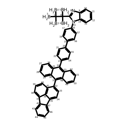 BC(B)(B)C(B)(B)c1nc2ccccc2n1-c1ccc(-c2ccc(-c3c4ccccc4c(-c4ccc5c6c(cccc46)-c4ccccc4-5)c4ccccc34)cc2)cc1